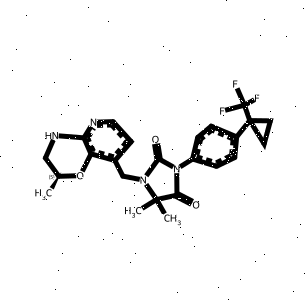 C[C@H]1CNc2nccc(CN3C(=O)N(c4ccc(C5(C(F)(F)F)CC5)cc4)C(=O)C3(C)C)c2O1